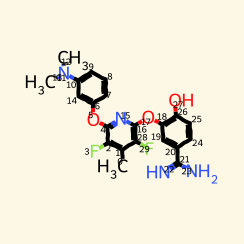 Cc1c(F)c(Oc2cccc(N(C)C)c2)nc(Oc2cc(C(=N)N)ccc2O)c1F